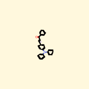 O=C(/C=C/c1ccc(N(c2ccccc2)c2ccccc2)cc1)c1ccccc1